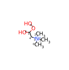 C[N+](C)(C)CC(O)OO